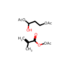 C=C(C)C(=O)OOC(C)=O.CC(=O)OCCC(O)OC(C)=O